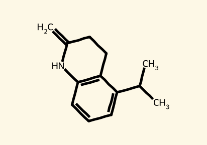 C=C1CCc2c(cccc2C(C)C)N1